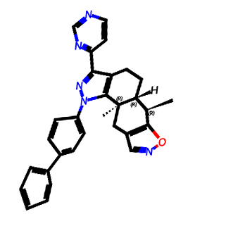 C[C@H]1c2oncc2C[C@@]2(C)c3c(c(-c4ccncn4)nn3-c3ccc(-c4ccccc4)cc3)CC[C@H]12